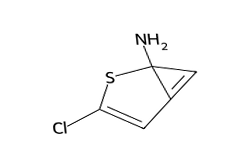 NC12C=C1C=C(Cl)S2